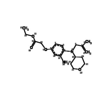 C=C(C)CN(c1ccc(OCC(=O)OCC)cc1N)C1CCOCC1